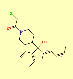 C=C/C(=C\C)C(O)(/C(C)=C/C=C\C)C1CCN(C(=O)CCl)CC1